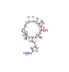 C/C(=C\c1csc(CN)n1)C1C[C@@H]2O[C@]2(C)CCC[C@H](C)[C@H](C)[C@@H](C)C(=O)C(C)(C)[C@@H](O)CC(=O)O1